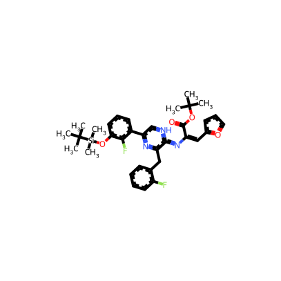 CC(C)(C)OC(=O)C(=C\c1ccco1)/N=c1\[nH]cc(-c2cccc(O[Si](C)(C)C(C)(C)C)c2F)nc1Cc1ccccc1F